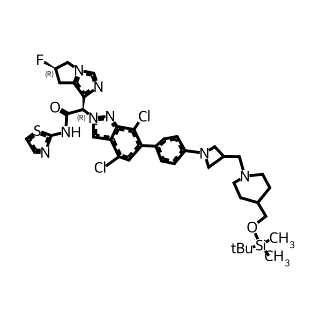 CC(C)(C)[Si](C)(C)OCC1CCN(CC2CN(c3ccc(-c4cc(Cl)c5cn([C@@H](C(=O)Nc6nccs6)c6ncn7c6C[C@@H](F)C7)nc5c4Cl)cc3)C2)CC1